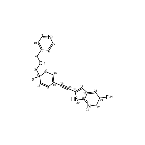 CC1(COCc2ccncc2)C=CC(C#Cc2cc3c([nH]2)=NCC(F)C=3)=CC1